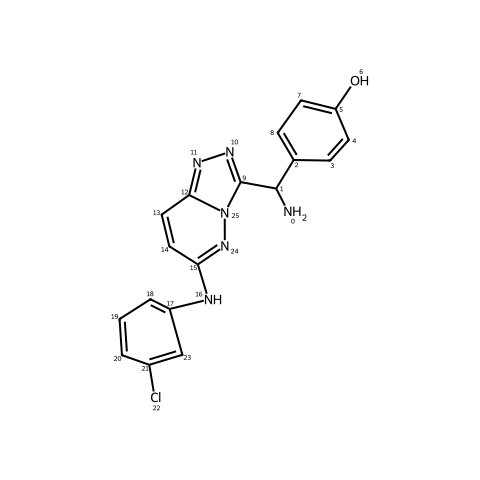 NC(c1ccc(O)cc1)c1nnc2ccc(Nc3cccc(Cl)c3)nn12